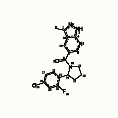 Cc1n[nH]c2ncc(C(=O)N3CCCC3c3ccc(Cl)cc3F)cc12